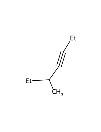 C[CH]C(C)C#CCC